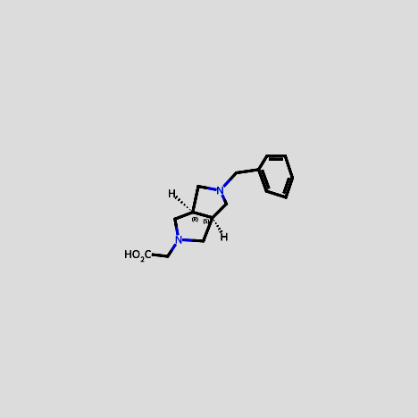 O=C(O)CN1C[C@@H]2CN(Cc3ccccc3)C[C@@H]2C1